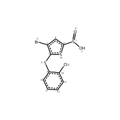 O=S(O)c1cc(Br)c(Sc2ccccc2Cl)s1